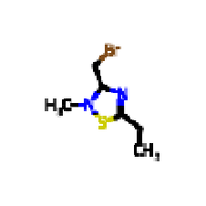 CCC1=NC(CBr)N(C)S1